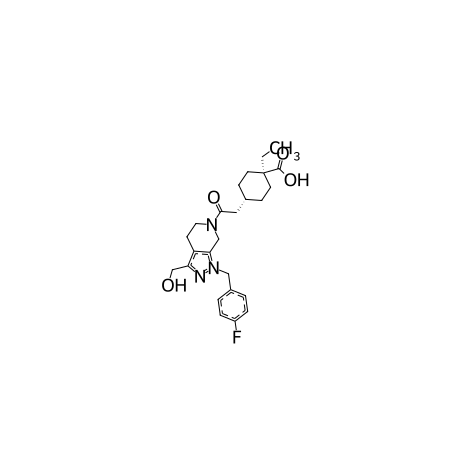 CC[C@]1(C(=O)O)CC[C@H](CC(=O)N2CCc3c(CO)nn(Cc4ccc(F)cc4)c3C2)CC1